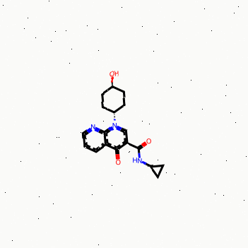 O=C(NC1CC1)c1cn([C@H]2CC[C@H](O)CC2)c2ncccc2c1=O